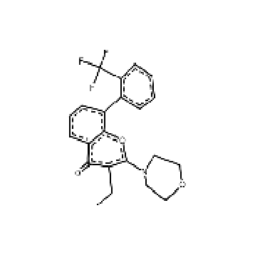 CCc1c(N2CCOCC2)oc2c(-c3ccccc3C(F)(F)F)cccc2c1=O